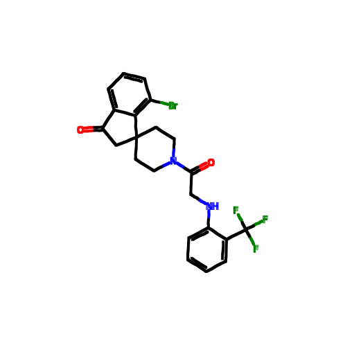 O=C1CC2(CCN(C(=O)CNc3ccccc3C(F)(F)F)CC2)c2c(Br)cccc21